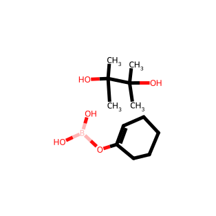 CC(C)(O)C(C)(C)O.OB(O)OC1=CCCCC1